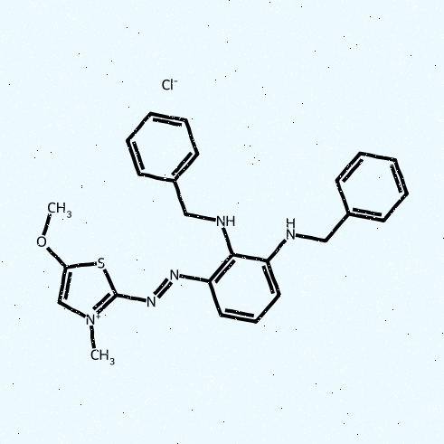 COc1c[n+](C)c(N=Nc2cccc(NCc3ccccc3)c2NCc2ccccc2)s1.[Cl-]